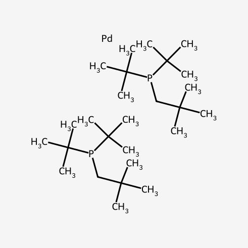 CC(C)(C)CP(C(C)(C)C)C(C)(C)C.CC(C)(C)CP(C(C)(C)C)C(C)(C)C.[Pd]